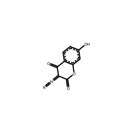 [N-]=[N+]=C1C(=O)Oc2cc(O)ccc2C1=O